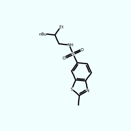 CCCCC(CC)CNS(=O)(=O)c1ccc2nc(C)sc2c1